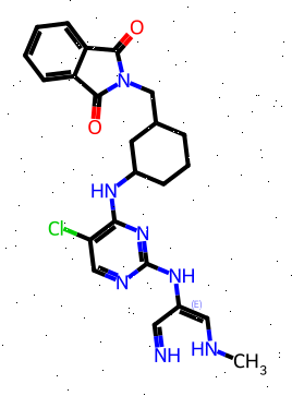 CN/C=C(\C=N)Nc1ncc(Cl)c(NC2CCCC(CN3C(=O)c4ccccc4C3=O)C2)n1